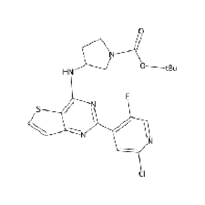 CC(C)(C)OC(=O)N1CCC(Nc2nc(-c3cc(Cl)ncc3F)nc3ccsc23)C1